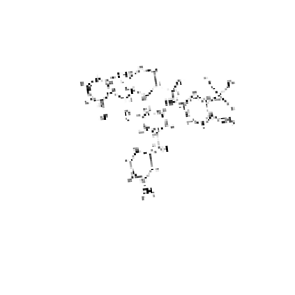 Cc1ccc(NC(=O)[C@H]2CCCN(C(=O)c3c(C)cccc3F)[C@H]2c2ccc(NC3CCO[C@@H](C)C3)cc2)cc1C(F)(F)F